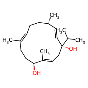 C/C1=C\CC[C@H](C)/C=C/[C@@](O)(C(C)C)C/C=C(\C)[C@@H](O)CC1